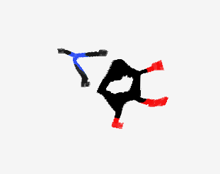 CCN(CC)CC.Oc1cccc(O)c1O